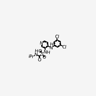 CC(C)NC(=O)S(=O)(=O)Nc1cnccc1Nc1cc(Cl)cc(Cl)c1